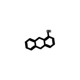 Oc1cccc2c1Cc1ccccc1C2